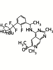 CCCCC(C)(O)C(F)(F)c1cccc(C(C)Nc2nc(C)nc3cnc(P(C)(C)=O)cc23)c1F